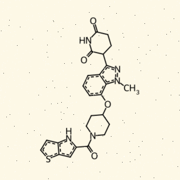 Cn1nc(C2CCC(=O)NC2=O)c2cccc(OC3CCN(C(=O)c4cc5sccc5[nH]4)CC3)c21